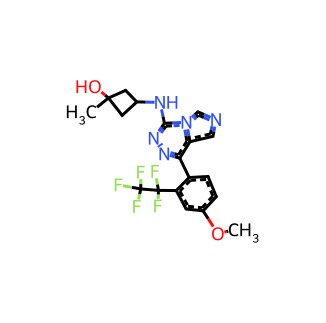 COc1ccc(-c2nnc(NC3CC(C)(O)C3)n3cncc23)c(C(F)(F)C(F)(F)F)c1